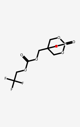 O=C(OCC(F)(F)F)OCC12COP(=O)(OC1)OC2